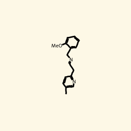 COc1ccccc1CN=CCc1ccc(C)cn1